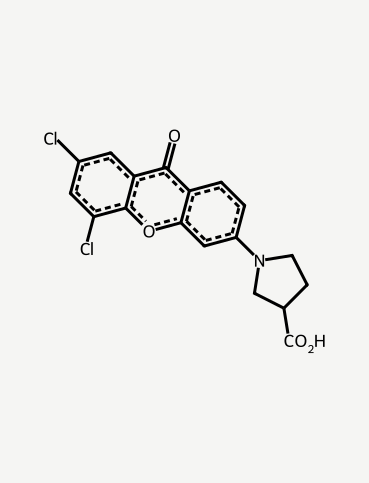 O=C(O)C1CCN(c2ccc3c(=O)c4cc(Cl)cc(Cl)c4oc3c2)C1